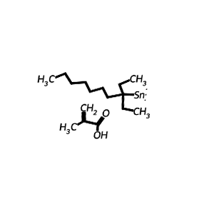 C=C(C)C(=O)O.CCCCCCC[C]([Sn])(CC)CC